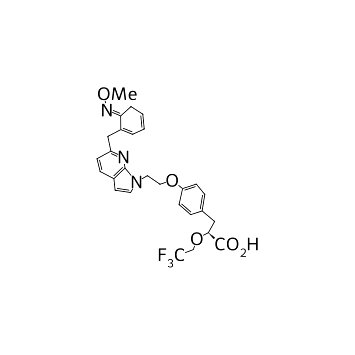 CON=C1CC=CC=C1Cc1ccc2ccn(CCOc3ccc(C[C@H](OCC(F)(F)F)C(=O)O)cc3)c2n1